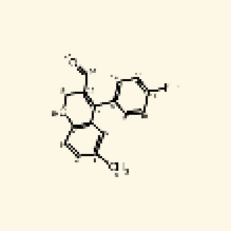 Cc1ccc2c(c1)C(c1ccc(F)cc1)=C(C=O)CO2